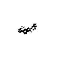 Cn1nccc1-c1ccc2c(c1)CN([C@H](CN)Cc1ccsc1)C2=O